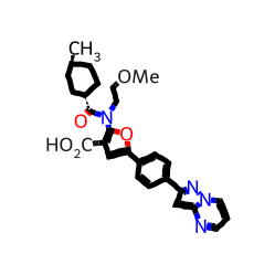 COCCN(c1oc(-c2ccc(-c3cc4ncccn4n3)cc2)cc1C(=O)O)C(=O)[C@H]1CC[C@H](C)CC1